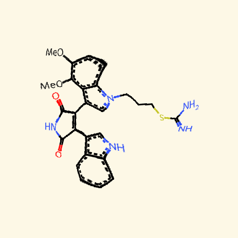 COc1ccc2c(c(C3=C(c4c[nH]c5ccccc45)C(=O)NC3=O)cn2CCCSC(=N)N)c1OC